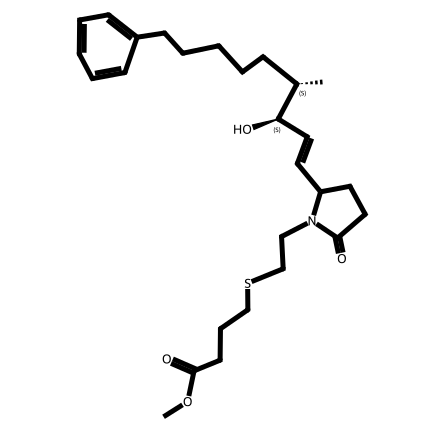 COC(=O)CCCSCCN1C(=O)CCC1C=C[C@@H](O)[C@@H](C)CCCCCc1ccccc1